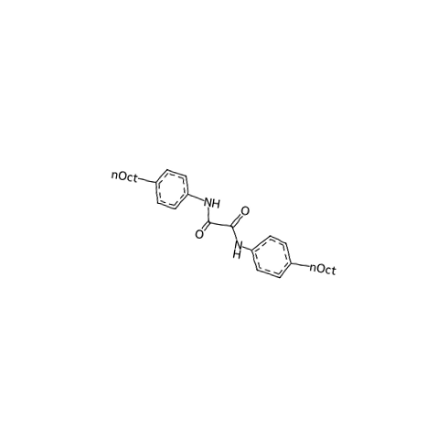 CCCCCCCCc1ccc(NC(=O)C(=O)Nc2ccc(CCCCCCCC)cc2)cc1